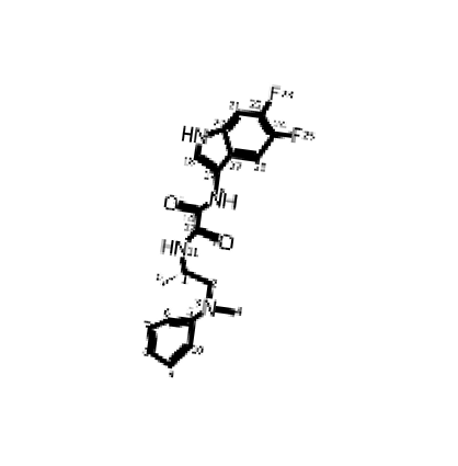 C[C@@H](CN(C)c1ccccc1)NC(=O)C(=O)Nc1c[nH]c2cc(F)c(F)cc12